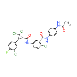 CC(=O)Nc1ccc(NC(=O)c2cc(NC(=O)C3C(c4ccc(F)c(Cl)c4)C3(Cl)Cl)ccc2Cl)cc1